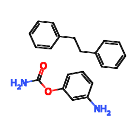 NC(=O)Oc1cccc(N)c1.c1ccc(CCc2ccccc2)cc1